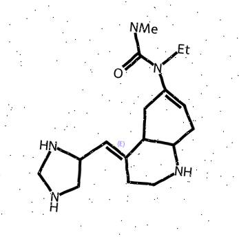 CCN(C(=O)NC)C1=CCC2NCC/C(=C\C3CNCN3)C2C1